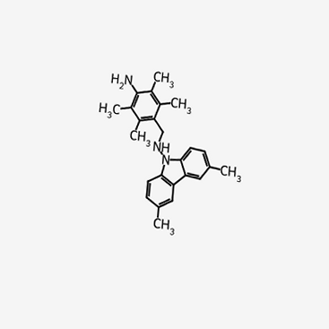 Cc1ccc2c(c1)c1cc(C)ccc1n2NCc1c(C)c(C)c(N)c(C)c1C